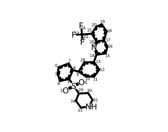 O=S(=O)(c1ccccc1-c1cccc(-c2ccc3cccc(C(F)(F)F)c3n2)c1)C1CCNCC1